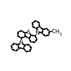 Cc1ccc2c(c1)c1ccccc1n2-c1cccc2c1sc1cccc(-n3c4ccccc4c4ccccc43)c12